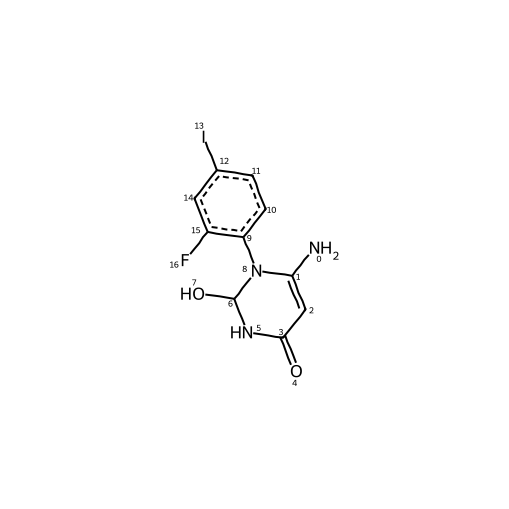 NC1=CC(=O)NC(O)N1c1ccc(I)cc1F